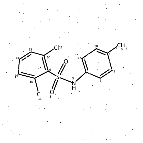 [CH2]c1ccc(NS(=O)(=O)c2c(Cl)cccc2Cl)cc1